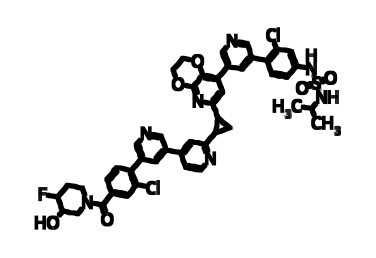 CC(C)NS(=O)(=O)Nc1ccc(-c2cncc(-c3cc(C4CC4c4cc(-c5cncc(-c6ccc(C(=O)N7CCC(F)C(O)C7)cc6Cl)c5)ccn4)nc4c3OCCO4)c2)c(Cl)c1